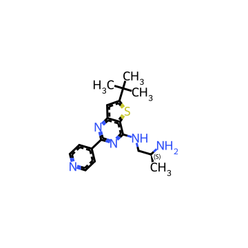 C[C@H](N)CNc1nc(-c2ccncc2)nc2cc(C(C)(C)C)sc12